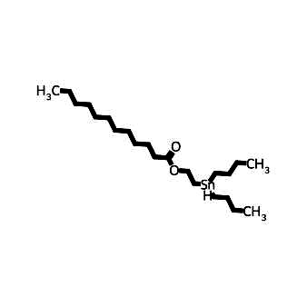 CCCCCCCCCCCC(=O)OC[CH2][SnH]([CH2]CCC)[CH2]CCC